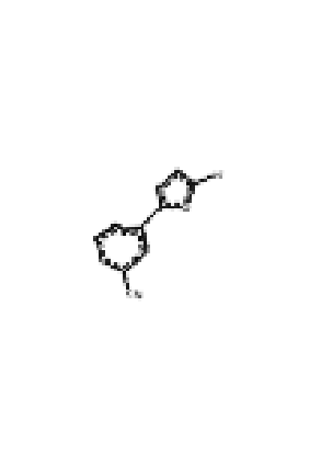 CC(=O)c1ccc(-c2cccc(C#N)c2)o1